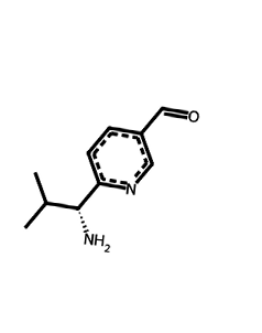 CC(C)[C@@H](N)c1ccc(C=O)cn1